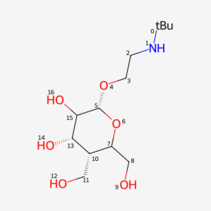 CC(C)(C)NCCO[C@@H]1OC(CO)[C@H](CO)[C@H](O)C1O